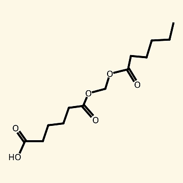 CCCCCC(=O)OCOC(=O)CCCCC(=O)O